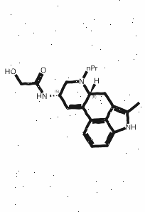 CCCN1C[C@@H](NC(=O)CO)C=C2c3cccc4[nH]c(C)c(c34)C[C@H]21